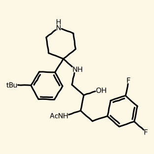 CC(=O)NC(Cc1cc(F)cc(F)c1)C(O)CNC1(c2cccc(C(C)(C)C)c2)CCNCC1